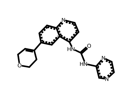 O=C(Nc1cnccn1)Nc1ccnc2ccc(C3=CCOCC3)cc12